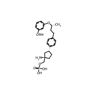 COc1cccc(O[C@H](C)CCc2ccc([C@@H]3CC[C@](N)(COP(=O)(O)O)C3)cc2)c1